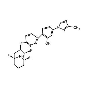 Cc1ncn(-c2ccc(-c3ccc(O[C@@H]4C[C@H]5CCC[C@H](N5)[C@@H]4F)nn3)c(O)c2)n1